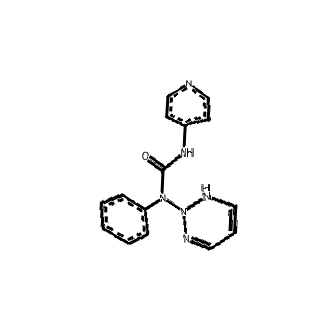 O=C(Nc1ccncc1)N(c1ccccc1)N1N=CC=CN1